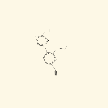 C#Cc1ccc(-n2cnc(C)c2)c(OCC(F)(F)F)c1